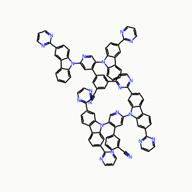 N#Cc1cccc(-c2cc(-n3c4cc(-c5ncccn5)ccc4c4ccc(-c5nccc(-c6cc(C#N)cc(-c7cc(-n8c9ccccc9c9cc(-c%10ncccn%10)ccc98)ncc7-n7c8ccccc8c8cc(-c9ncccn9)ccc87)c6)n5)cc43)ncc2-n2c3cc(-c4cnccn4)ccc3c3ccc(-c4ncccn4)cc32)c1